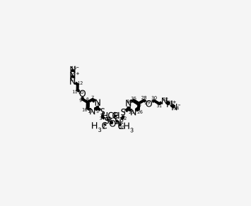 C[Si](C)(CSc1ncc(COCCN=[N+]=[N-])cn1)O[Si](C)(C)CSc1ncc(COCCN=[N+]=[N-])cn1